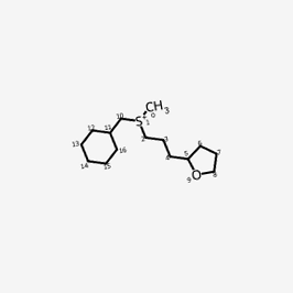 C[S+](CCCC1CCCO1)CC1CCCCC1